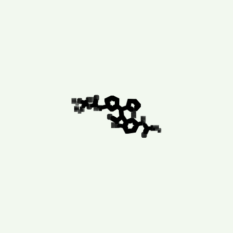 CC(C)(C)OC(=O)Nc1cccc(/C(=C2\C(=O)Nc3ccc(NC(N)=O)cc32)c2ccc[nH]2)c1